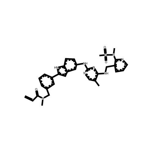 C=CC(=O)N(C)Cc1cccc(-c2cc3cc(Nc4ncc(C)c(NCc5cccnc5N(C)S(C)(=O)=O)n4)ccc3[nH]2)c1